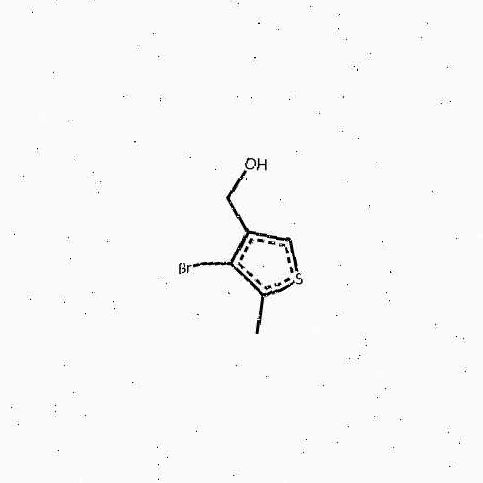 Cc1scc(CO)c1Br